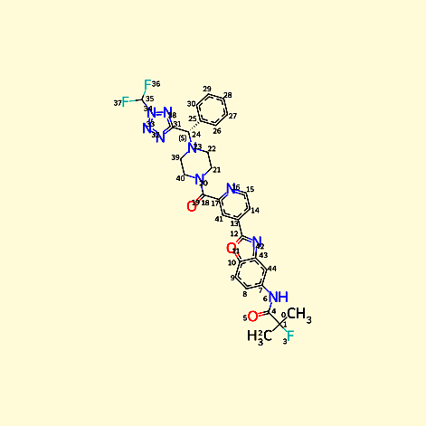 CC(C)(F)C(=O)Nc1ccc2oc(-c3ccnc(C(=O)N4CCN([C@@H](c5ccccc5)c5nnn(C(F)F)n5)CC4)c3)nc2c1